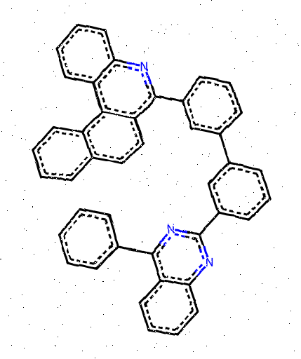 c1ccc(-c2nc(-c3cccc(-c4cccc(-c5nc6ccccc6c6c5ccc5ccccc56)c4)c3)nc3ccccc23)cc1